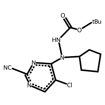 CC(C)(C)OC(=O)NN(c1nc(C#N)ncc1Cl)C1CCCC1